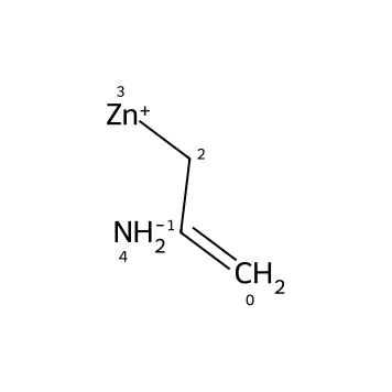 C=C[CH2][Zn+].[NH2-]